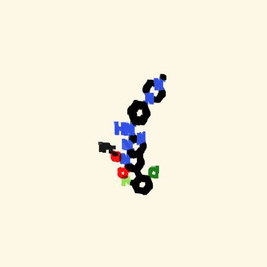 CC(C)On1c(=O)c(-c2c(F)cccc2Cl)cc2cnc(Nc3ccc(N4CCN(C)CC4)cc3)nc21